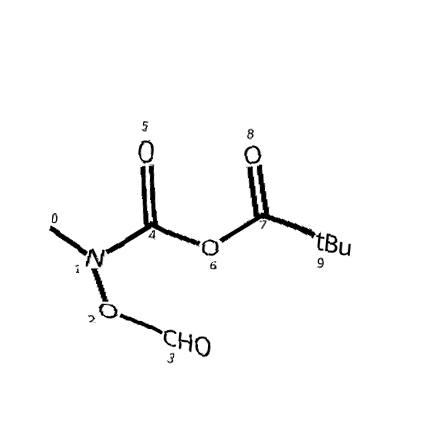 CN(OC=O)C(=O)OC(=O)C(C)(C)C